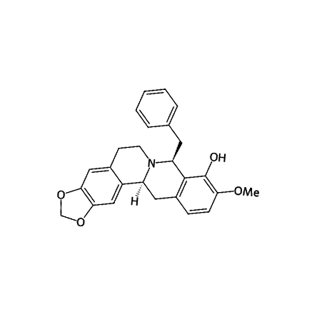 COc1ccc2c(c1O)[C@H](Cc1ccccc1)N1CCc3cc4c(cc3[C@@H]1C2)OCO4